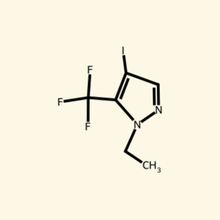 CCn1ncc(I)c1C(F)(F)F